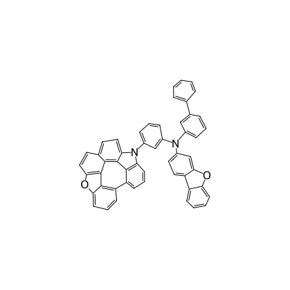 c1ccc(-c2cccc(N(c3cccc(-n4c5cccc6c5c5c7c(ccc8oc9cccc-6c9c87)ccc54)c3)c3ccc4c(c3)oc3ccccc34)c2)cc1